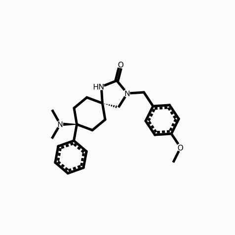 COc1ccc(CN2C[C@]3(CC[C@](c4ccccc4)(N(C)C)CC3)NC2=O)cc1